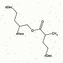 CCCCCCCCCCCCC(CCCCCC)COC(=O)C(C)CCCCCCCCCCCC